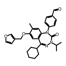 Cc1cc2c(cc1OCc1ccoc1)C(C1CCCCC1)=NN(C(C)C)C(=O)N2c1ccc(C=O)cc1